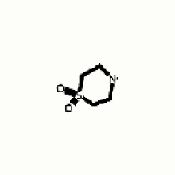 O=S1(=O)C[CH][N]CC1